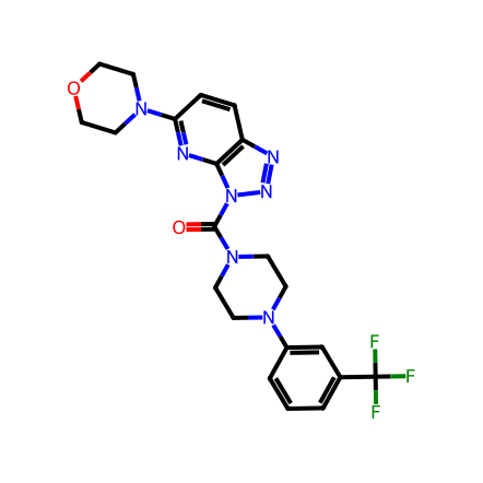 O=C(N1CCN(c2cccc(C(F)(F)F)c2)CC1)n1nnc2ccc(N3CCOCC3)nc21